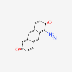 N#[N+]C1=c2cc3c(cc2C=CC1=O)=CC(=O)C=C3